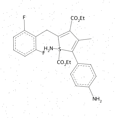 CCOC(=O)C1=C(Cc2c(F)cccc2F)S(N)(C(=O)OCC)C(c2ccc(N)cc2)=C1C